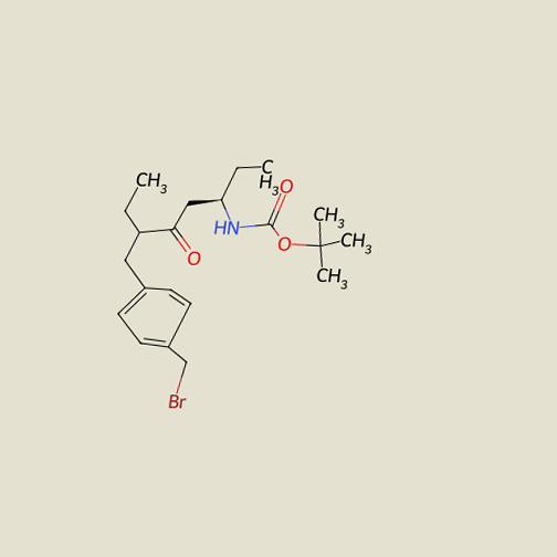 CCC(Cc1ccc(CBr)cc1)C(=O)C[C@@H](CC)NC(=O)OC(C)(C)C